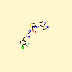 O=C(NCCNCc1ccc(Cl)c(C(F)(F)F)c1)c1sccc1Nc1ccnc2[nH]ccc12